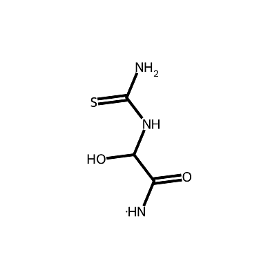 [NH]C(=O)C(O)NC(N)=S